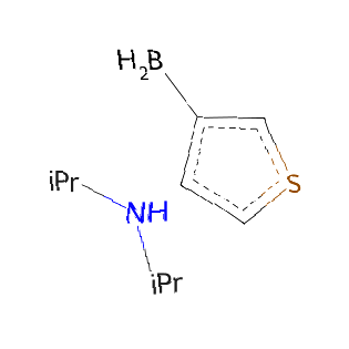 Bc1ccsc1.CC(C)NC(C)C